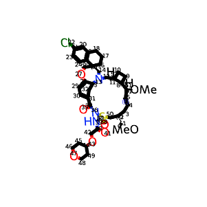 COC[C@H]1C/C=C/[C@H](OC)[C@@H]2CC[C@H]2CN2C[C@@]3(CCCc4cc(Cl)ccc43)COC3=CC=C(CC32)C(=O)N=[S@](=O)(NC(=O)COC2CCOCC2)C1